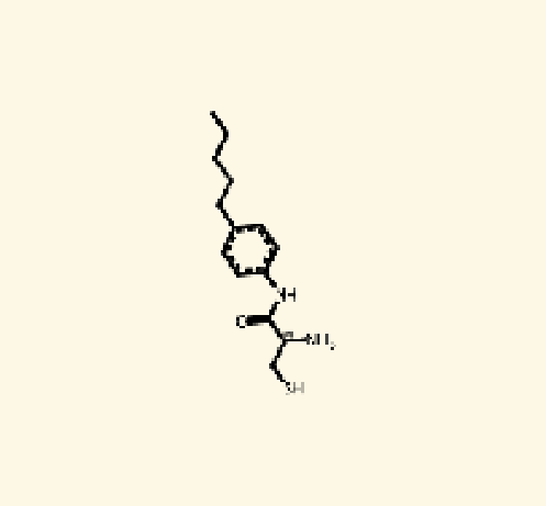 CCCCCc1ccc(NC(=O)[C@@H](N)CS)cc1